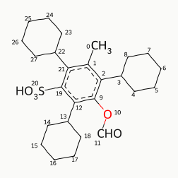 Cc1c(C2CCCCC2)c(OC=O)c(C2CCCCC2)c(S(=O)(=O)O)c1C1CCCCC1